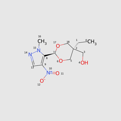 CC[C@]1(CO)CO[C@@H](c2c([N+](=O)[O-])cnn2C)OC1